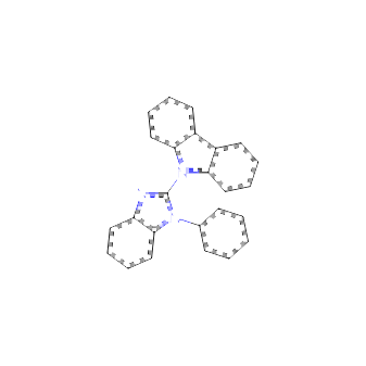 c1ccc(-n2c(-n3c4ccccc4c4ccccc43)nc3ccccc32)cc1